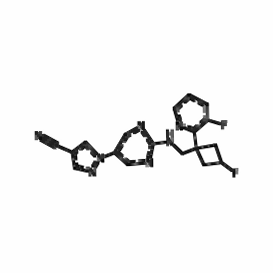 N#Cc1cnn(-c2cnc(NCC3(c4ncccc4F)CC(F)C3)nc2)c1